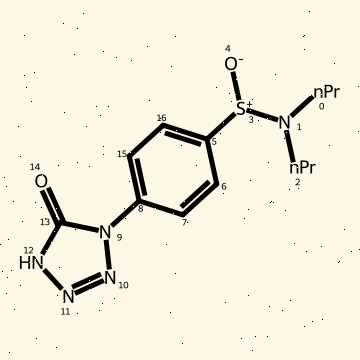 CCCN(CCC)[S+]([O-])c1ccc(-n2nn[nH]c2=O)cc1